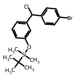 CC(C)(C)[Si](C)(C)Oc1cccc(C(Cl)c2ccc(Br)cc2)c1